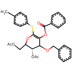 CC(=O)OCC1OC(Sc2ccc(C)cc2)=C(OC(=O)c2ccccc2)C(OCc2ccccc2)[C@@H]1OC(C)=O